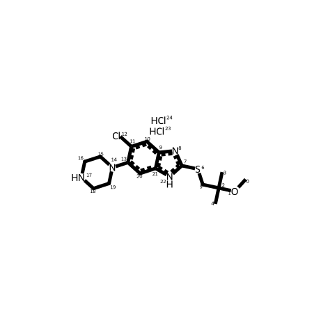 COC(C)(C)CSc1nc2cc(Cl)c(N3CCNCC3)cc2[nH]1.Cl.Cl